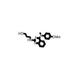 COc1ccc(N(C)c2nc(NCCCO)nc3ccccc23)cc1